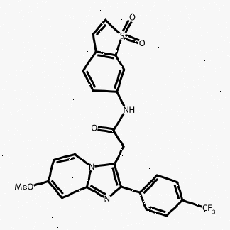 COc1ccn2c(CC(=O)Nc3ccc4c(c3)S(=O)(=O)C=C4)c(-c3ccc(C(F)(F)F)cc3)nc2c1